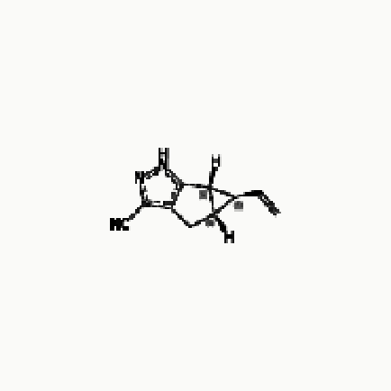 C=C[C@H]1[C@@H]2Cc3c(C#N)n[nH]c3[C@H]12